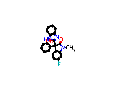 CN1C(=O)C(c2nc3ccccc3[nH]2)(c2ccccc2O)c2ccc(F)cc21